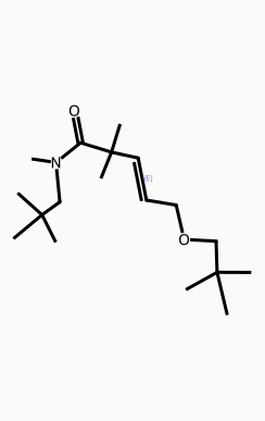 CN(CC(C)(C)C)C(=O)C(C)(C)/C=C/COCC(C)(C)C